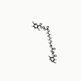 Cc1ccc(C)c(C(=O)OOOC(=O)OCCOCCOCCOC(=O)OOOC(=O)c2cc(C)ccc2C)c1